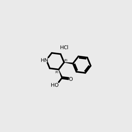 Cl.O=C(O)[C@H]1CNCC[C@H]1c1ccccc1